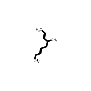 [CH2]CC=CCC(C)C=CC